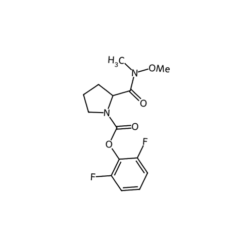 CON(C)C(=O)C1CCCN1C(=O)Oc1c(F)cccc1F